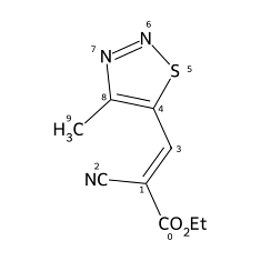 CCOC(=O)C(C#N)=Cc1snnc1C